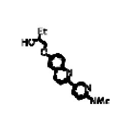 CCC(O)COc1ccc2nc(-c3ccc(NC)nc3)ccc2c1